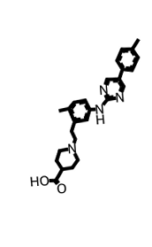 Cc1ccc(-c2cnc(Nc3ccc(C)c(CCN4CCC(C(=O)O)CC4)c3)nc2)cc1